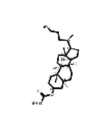 CCCCCC(=O)O[C@H]1CC[C@@]2(C)[C@@H](CC[C@@H]3[C@@H]2CC[C@]2(C)[C@@H]([C@H](C)CCCC(C)C)CC[C@@H]32)C1